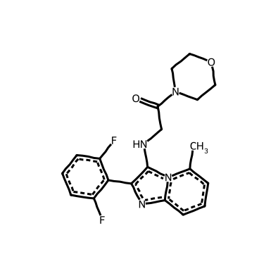 Cc1cccc2nc(-c3c(F)cccc3F)c(NCC(=O)N3CCOCC3)n12